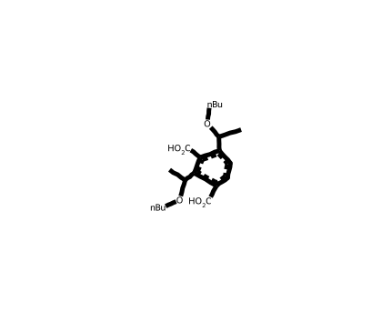 CCCCOC(C)c1ccc(C(=O)O)c(C(C)OCCCC)c1C(=O)O